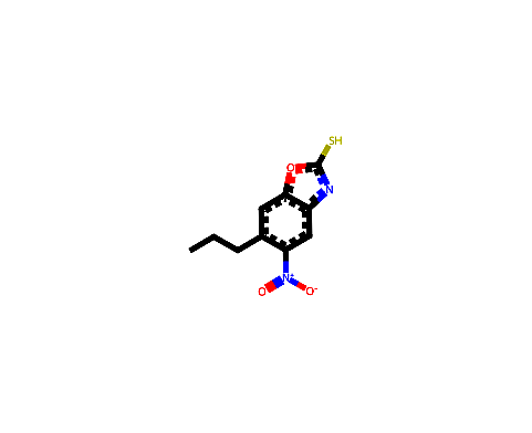 CCCc1cc2oc(S)nc2cc1[N+](=O)[O-]